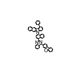 c1ccc(-c2cccc3c2c2cc4ccccc4cc2n3-c2ccc(-c3nc(-c4ccc5c(c4)oc4ccccc45)c4ccccc4n3)c3ccccc23)cc1